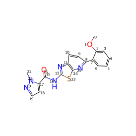 COc1ccccc1-c1ccc2nc(NC(=O)c3ccnn3C)sc2n1